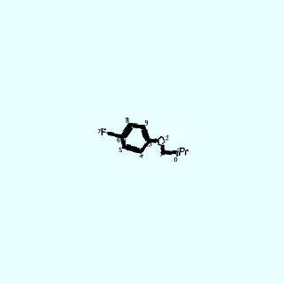 CC(C)COc1ccc(F)cc1